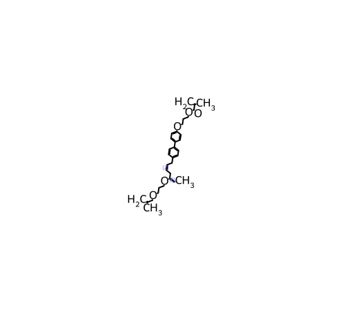 C=C(C)COCCCO/C(=C/C)C/C=C\Cc1ccc(-c2ccc(OCCCOC(=O)C(=C)C)cc2)cc1